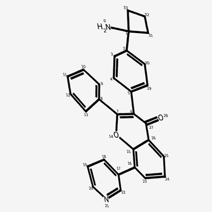 NC1(c2ccc(-c3c(-c4ccccc4)oc4c(-c5cccnc5)cccc4c3=O)cc2)CCC1